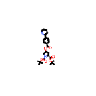 CC(C)(C)OC(=O)[C@@H]1C[C@H](OC(=O)c2ccc(-c3ccccn3)cc2)CN1C(=O)OC(C)(C)C